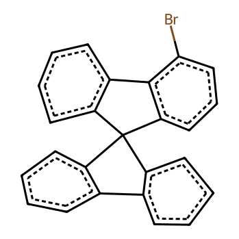 Brc1cccc2c1-c1ccccc1C21c2ccccc2-c2ccccc21